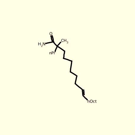 CCCCCCCCC=CCCCCCCC(C)(CCC)C(N)=O